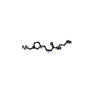 CC(C)(C)CCNC(=O)/C=C\C[C@@H]1CCN(CC(F)(F)F)C1